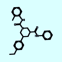 CCc1ccc(C2CC(C(=O)Nc3ccccc3)CN(C(=O)Nc3ccccc3C)C2)cc1